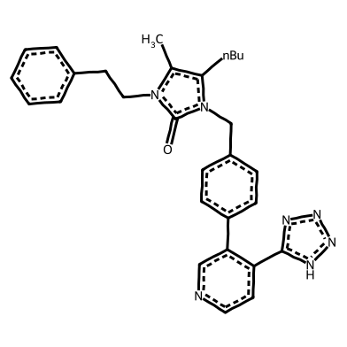 CCCCc1c(C)n(CCc2ccccc2)c(=O)n1Cc1ccc(-c2cnccc2-c2nnn[nH]2)cc1